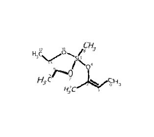 C/C=C(/C)O[Si](C)(OCC)OCC